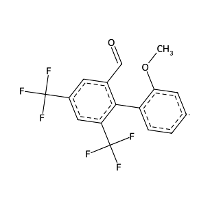 COc1c[c]ccc1-c1c(C=O)cc(C(F)(F)F)cc1C(F)(F)F